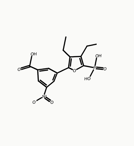 CCc1c(-c2cc(C(=O)O)cc([N+](=O)[O-])c2)oc(P(=O)(O)O)c1CC